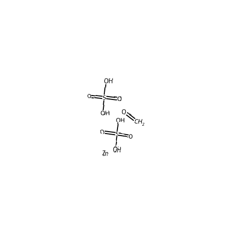 C=O.O=S(=O)(O)O.O=S(=O)(O)O.[Zn]